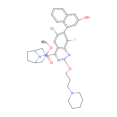 CC(C)(C)OC(=O)N1C2CCC1CN(c1nc(OCCCN3CCCCC3)nc3c(F)c(-c4cc(O)cc5ccccc45)c(Cl)cc13)C2